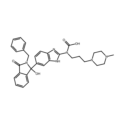 CN1CCN(CCCN(C(=O)O)c2nc3ccc(C4(O)c5ccccc5C(=O)N4Cc4ccccc4)cc3[nH]2)CC1